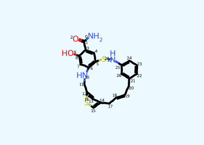 NC(=O)c1cc2c(cc1O)NCc1cc(cs1)C/C=C/Cc1cccc(c1)NS2